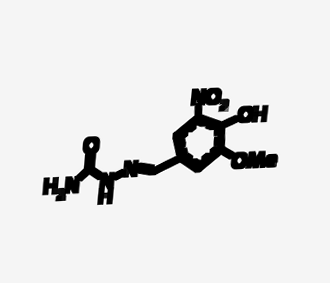 COc1cc(C=NNC(N)=O)cc([N+](=O)[O-])c1O